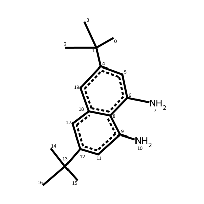 CC(C)(C)c1cc(N)c2c(N)cc(C(C)(C)C)cc2c1